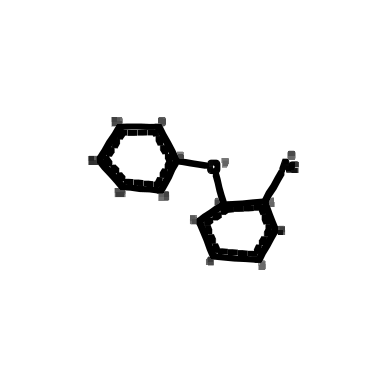 CC(=O)c1ccccc1Oc1ccccc1